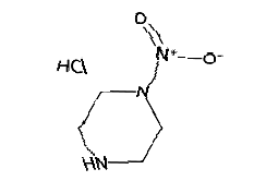 Cl.O=[N+]([O-])N1CCNCC1